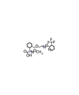 CO/N=C(/C(=O)O)c1ccccc1COC/C=N/Oc1ncccc1C(F)(F)F